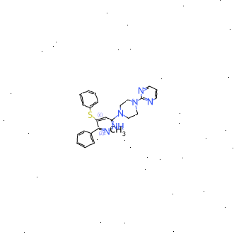 C/N=C(\C(=C/C(=N)N1CCN(c2ncccn2)CC1)Sc1ccccc1)c1ccccc1